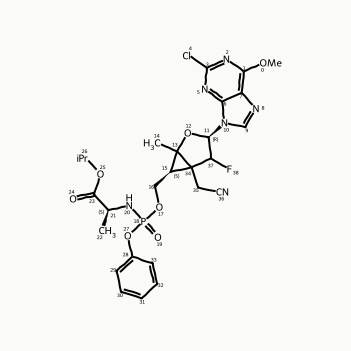 COc1nc(Cl)nc2c1ncn2[C@@H]1OC2(C)[C@H](COP(=O)(N[C@@H](C)C(=O)OC(C)C)Oc3ccccc3)C2(CC#N)C1F